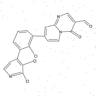 O=Cc1cnc2cc(-c3cccc(-c4ccnc(Cl)c4Cl)c3Cl)ccn2c1=O